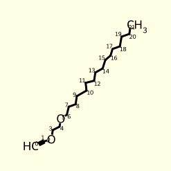 C#COCCOCCCCCCCCCCCCCCCC